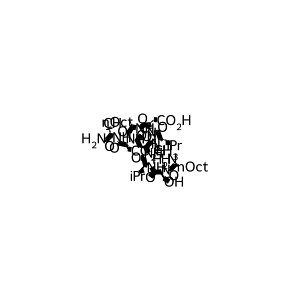 C#C[C@H](NC(=O)[C@H](CC(=O)O)NC(=O)[C@H](CCCCCCCC)NC(=O)[C@H](CC(=O)O)NC(=O)[C@H](CC(C)C)N(C)C(=O)[C@H](CCO)NC(=O)[C@H](CC(C)C)NC(=O)[C@H](CO)NC(=O)[C@@H](N)CCCCCCCC)C(N)=O